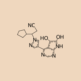 N#CCC(C1CCCC1)n1cc(-c2ncnc3[nH]c(O)c(O)c23)cn1